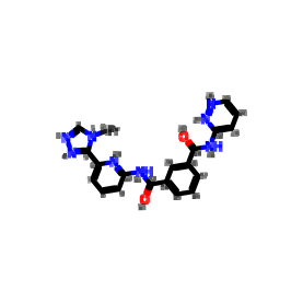 CC(C)n1cnnc1-c1cccc(NC(=O)c2cccc(C(=O)Nc3cccnn3)c2)n1